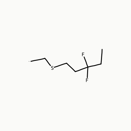 [CH2]CSCCC(F)(F)CC